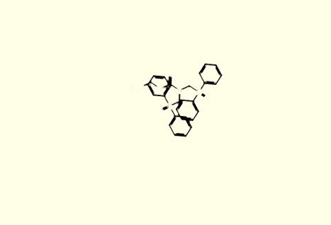 CCOC(=O)N(CP(=O)(c1ccccc1)c1ccccc1)CP(=O)(c1ccccc1)c1ccccc1